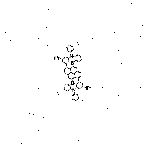 CC(C)c1cc2c3c(c1)N(c1ccccc1)c1ccccc1B3c1cc3ccc4c5c(cc6ccc-2c1c6c35)B1c2ccccc2N(c2ccccc2)c2cc(C(C)C)cc-4c21